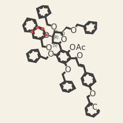 CC(=O)Oc1c(C(=O)C=Cc2ccc(OCc3ccccc3)cc2)c(OCc2ccccc2)cc(OCc2ccccc2)c1C1O[C@H](COCc2ccccc2)[C@@H](OCc2ccccc2)[C@H](OCc2ccccc2)[C@H]1OCc1ccccc1